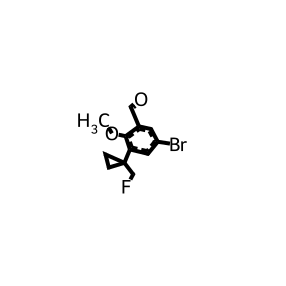 COc1c(C=O)cc(Br)cc1C1(CF)CC1